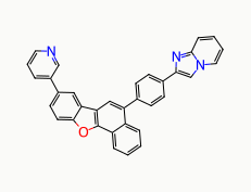 c1cncc(-c2ccc3oc4c5ccccc5c(-c5ccc(-c6cn7ccccc7n6)cc5)cc4c3c2)c1